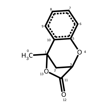 CC12CC(Oc3ccccc31)C(=O)O2